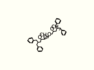 COC(COCOCC(CC(Cc1ccccc1)Cc1ccccc1)OC)CC(Cc1ccccc1)Cc1ccccc1